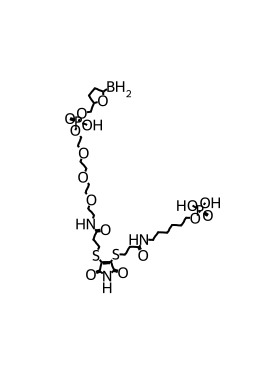 BC1CCC(COP(=O)(O)OCCOCCOCCOCCNC(=O)CCSC2=C(SCCC(=O)NCCCCCCOP(=O)(O)O)C(=O)NC2=O)O1